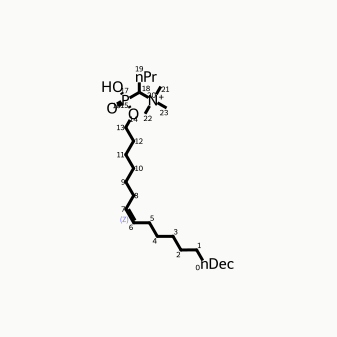 CCCCCCCCCCCCCCC/C=C\CCCCCCOP(=O)(O)C(CCC)[N+](C)(C)C